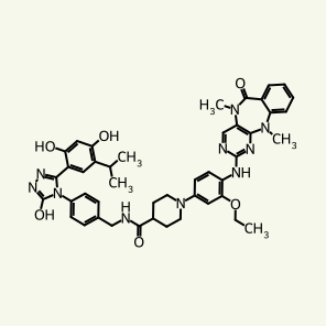 CCOc1cc(N2CCC(C(=O)NCc3ccc(-n4c(O)nnc4-c4cc(C(C)C)c(O)cc4O)cc3)CC2)ccc1Nc1ncc2c(n1)N(C)c1ccccc1C(=O)N2C